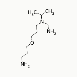 CC(C)N(CN)CCCOCCCN